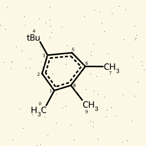 Cc1cc(C(C)(C)C)cc(C)c1C